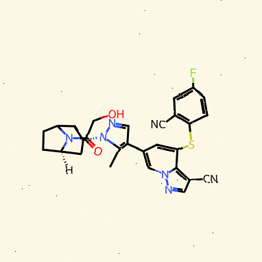 Cc1c(-c2cc(Sc3ccc(F)cc3C#N)c3c(C#N)cnn3c2)cnn1[C@H]1CC2CC[C@H](C1)N2C(=O)CO